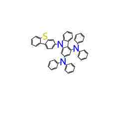 c1ccc(N(c2ccccc2)c2cc(N(c3ccccc3)c3ccccc3)c3c4ccccc4n(-c4ccc5c(c4)sc4ccccc45)c3c2)cc1